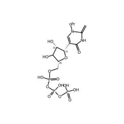 C=C1NC(=O)C([C@@H]2O[C@H](COP(=O)(O)OP(=O)(O)OP(=O)(O)O)C(O)[C@@H]2O)=CN1CCC